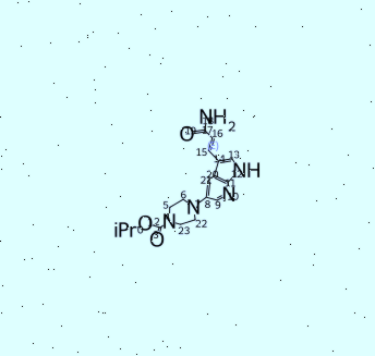 CC(C)OC(=O)N1CCN(c2cnc3[nH]cc(/C=C/C(N)=O)c3c2)CC1